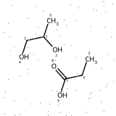 CC(O)CO.CCC(=O)O